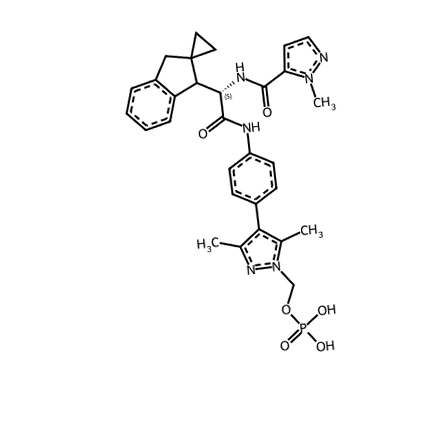 Cc1nn(COP(=O)(O)O)c(C)c1-c1ccc(NC(=O)[C@@H](NC(=O)c2ccnn2C)C2c3ccccc3CC23CC3)cc1